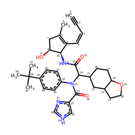 C#C/C=C\C1=C(C)C[C@H](O)[C@@H]1NC(=O)C(C1CCC2OCCC2C1)N(C(=O)c1c[nH]cn1)c1ccc(C(C)(C)C)cc1